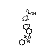 O=C(O)[C@H]1CSC(c2ccc3cc(OS(=O)(=O)c4ccccc4)ccc3n2)=N1